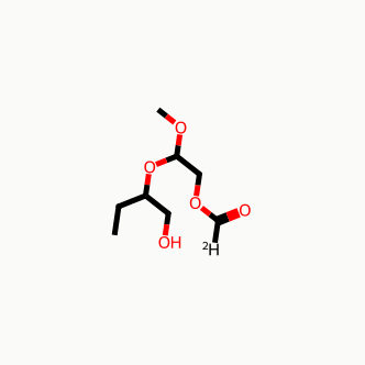 [2H]C(=O)OCC(OC)OC(CC)CO